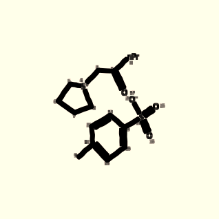 CCCC(=O)C[S+]1CCCC1.Cc1ccc(S(=O)(=O)[O-])cc1